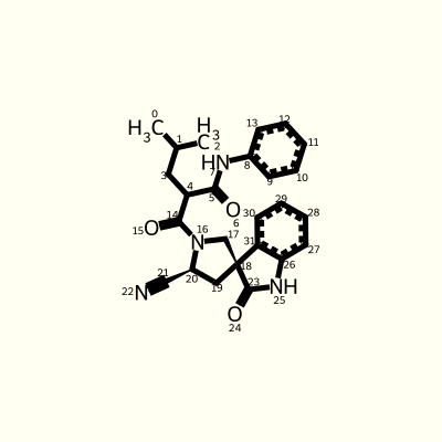 CC(C)CC(C(=O)Nc1ccccc1)C(=O)N1C[C@]2(C[C@H]1C#N)C(=O)Nc1ccccc12